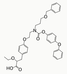 CCOC(Cc1ccc(OCCN(CCCOCc2ccccc2)C(=O)Oc2ccc(Oc3ccccc3)cc2)cc1)C(=O)O